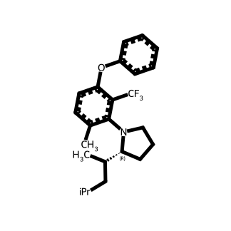 Cc1ccc(Oc2ccccc2)c(C(F)(F)F)c1N1CCC[C@@H]1C(C)CC(C)C